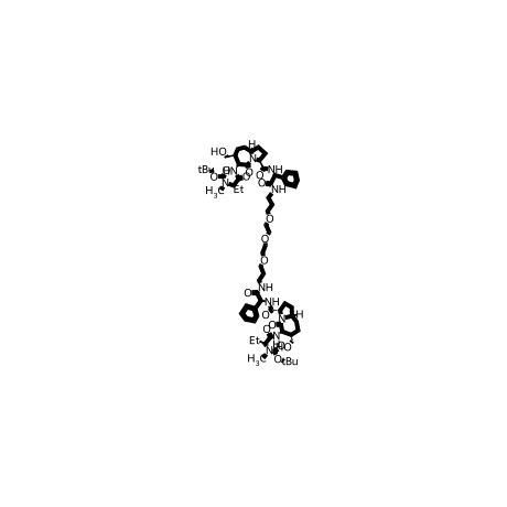 CC[C@@H](C(=O)N[C@@H]1C(=O)N2[C@@H](CC[C@@H]1CO)CC[C@H]2C(=O)N[C@H](C(=O)NCCCOCCOCCOCCCNC(=O)[C@@H](NC(=O)[C@@H]1CC[C@@H]2CC[C@H](CO)[C@H](NC(=O)[C@H](CC)N(C)C(=O)OC(C)(C)C)C(=O)N21)c1ccccc1)c1ccccc1)N(C)C(=O)OC(C)(C)C